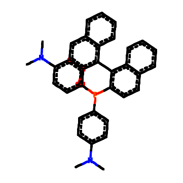 CN(C)c1ccc(P(c2ccc(N(C)C)cc2)c2ccc3ccccc3c2-c2c(O)ccc3ccccc23)cc1